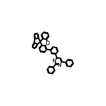 c1ccc(-c2cc(-c3cccc(-c4cccc5c4Oc4ccccc4C54c5ccccc5-c5ccccc54)c3)nc(-c3ccccc3)n2)cc1